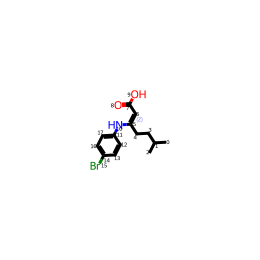 CC(C)CC/C(=C/C(=O)O)Nc1ccc(Br)cc1